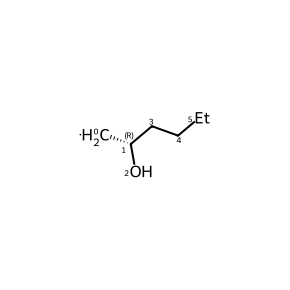 [CH2][C@@H](O)CCCC